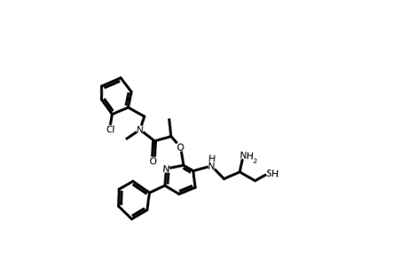 CC(Oc1nc(-c2ccccc2)ccc1NCC(N)CS)C(=O)N(C)Cc1ccccc1Cl